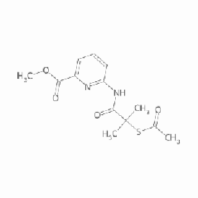 COC(=O)c1cccc(NC(=O)C(C)(C)SC(C)=O)n1